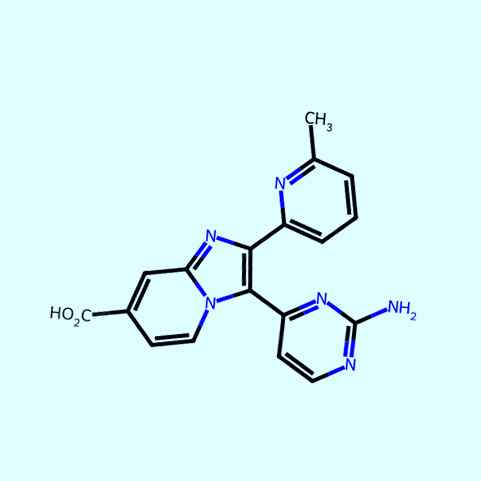 Cc1cccc(-c2nc3cc(C(=O)O)ccn3c2-c2ccnc(N)n2)n1